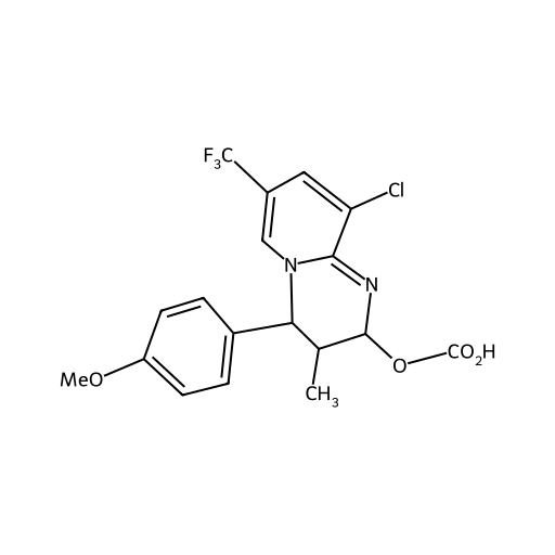 COc1ccc(C2C(C)C(OC(=O)O)N=C3C(Cl)=CC(C(F)(F)F)=CN32)cc1